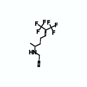 C#CCNC(C)CCC=C(C(F)(F)F)C(F)(F)F